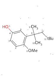 COc1ccc(O)cc1C(C)(C)CC(C)(C)C